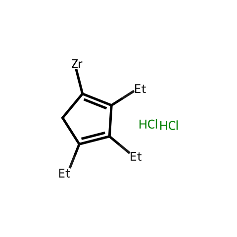 CCC1=C(CC)C(CC)=[C]([Zr])C1.Cl.Cl